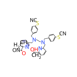 C=C(/N=C(\C=C/C)CN(CCN(Cc1ccc(SC#N)cc1)Cc1cccc(C(=C)O)n1)Cc1ccc(SC#N)cc1)C(=O)N=O